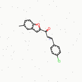 Cc1ccc2oc(C(=O)/C=C/c3ccc(Cl)cc3)cc2c1